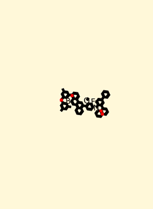 COc1cc(N(c2ccccc2)c2c(F)cc(-c3ccccc3)cc2-c2ccccc2)ccc1-c1cc2c3ccccc3c(B(c3c(C)cc(C)cc3C)c3c(C)cc(C)cc3C)cc2c2ccccc12